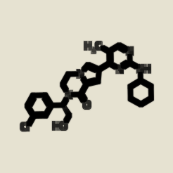 Cc1cnc(NC2CCCCC2)nc1-c1cc2n(c1)CCN([C@@H](CO)c1cccc(Cl)c1)C2=O